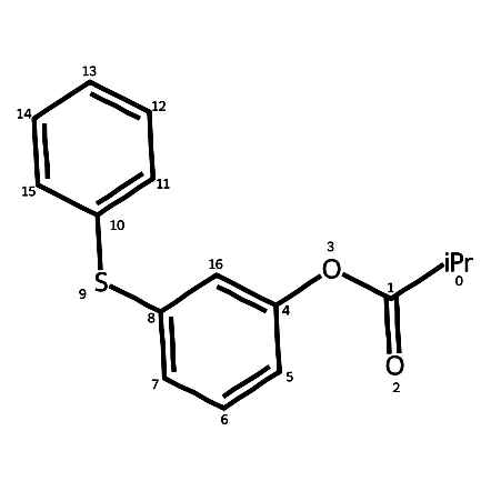 CC(C)C(=O)Oc1cccc(Sc2ccccc2)c1